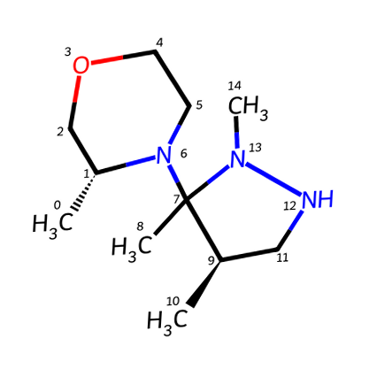 C[C@@H]1COCCN1C1(C)[C@H](C)CNN1C